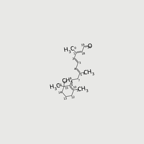 CC(C=CC=C(C)CCC1=C(C)CCCC1(C)C)=CC=O